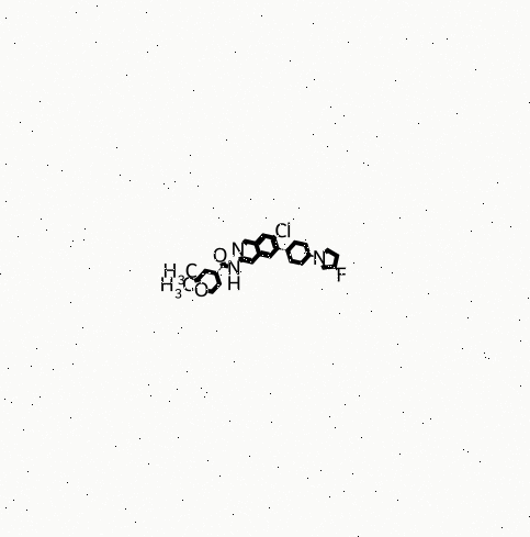 CC1(C)C[C@H](C(=O)Nc2cc3cc([C@H]4CC[C@@H](N5CC[C@@H](F)C5)CC4)c(Cl)cc3cn2)CCO1